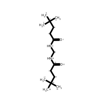 CC(C)(C)CCC(=O)NCNC(=O)CCC(C)(C)C